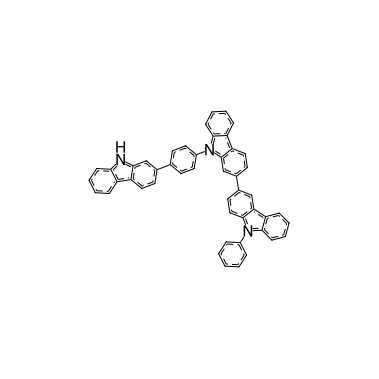 c1ccc(-n2c3ccccc3c3cc(-c4ccc5c6ccccc6n(-c6ccc(-c7ccc8c(c7)[nH]c7ccccc78)cc6)c5c4)ccc32)cc1